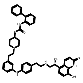 O=C(Nc1ccccc1-c1ccccc1)OC1CCN(CCc2cccc(Nc3ccc(CCNC[C@@H](O)c4ccc(O)c5[nH]c(=O)ccc45)cc3)c2)CC1